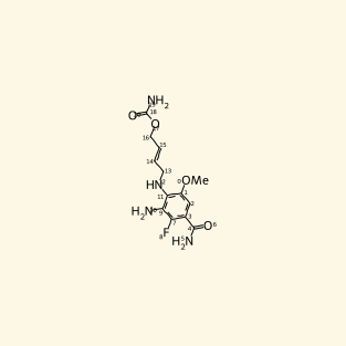 COc1cc(C(N)=O)c(F)c(N)c1NCC=CCOC(N)=O